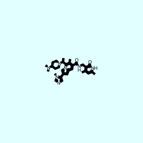 Cc1cc(C)c(CNC(=O)c2cc3cc(-c4cncn4C)cn3c(C(C)N3CCC(N(C)C)CC3)c2C)c(=O)[nH]1